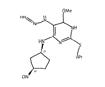 CCCSC1=NC(N[C@H]2CC[C@@H](N=O)C2)=C(NN=N)C(OC)N1